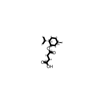 CC(C)[C@@H]1CC[C@@H](C)C[C@H]1OC(=O)CCC(=O)O